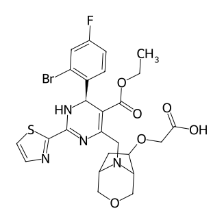 CCOC(=O)C1=C(CN2C3COCC2C(OCC(=O)O)C3)N=C(c2nccs2)N[C@H]1c1ccc(F)cc1Br